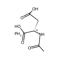 CC(=O)N[C@@H](CC(=O)O)C(=O)O.P